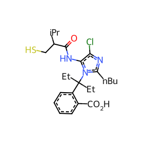 CCCCc1nc(Cl)c(NC(=O)C(CS)C(C)C)n1C(CC)(CC)c1ccccc1C(=O)O